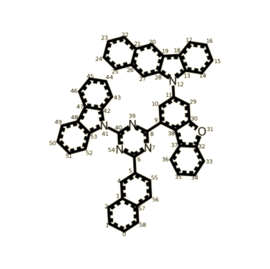 c1ccc2cc(-c3nc(-c4cc(-n5c6ccccc6c6cc7ccccc7cc65)cc5oc6ccccc6c45)nc(-n4c5ccccc5c5ccccc54)n3)ccc2c1